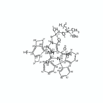 CC1(CO[Si](C)(C)C(C)(C)C)Cn2ncc(S(=N)(=O)N(C(=O)Nc3c4c(c(F)c5c3CC5)CC4)C(c3ccccc3)(c3ccccc3)c3ccccc3)c2O1